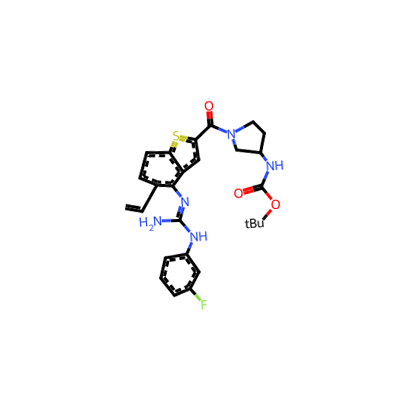 C=Cc1ccc2sc(C(=O)N3CCC(NC(=O)OC(C)(C)C)C3)cc2c1/N=C(\N)Nc1cccc(F)c1